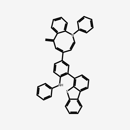 C=C1/C=C(c2ccc(Nc3ccccc3)c(-c3cccc4c3sc3ccccc34)c2)\C=C/N(c2ccccc2)c2ccccc21